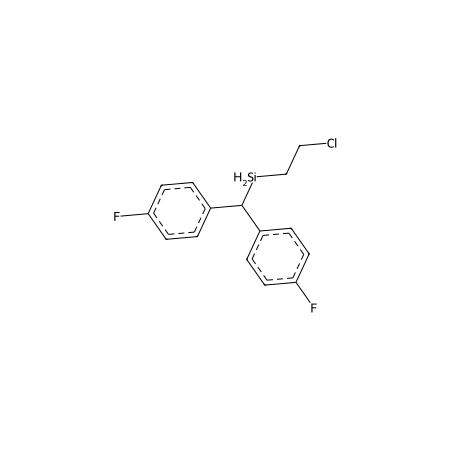 Fc1ccc(C([SiH2]CCCl)c2ccc(F)cc2)cc1